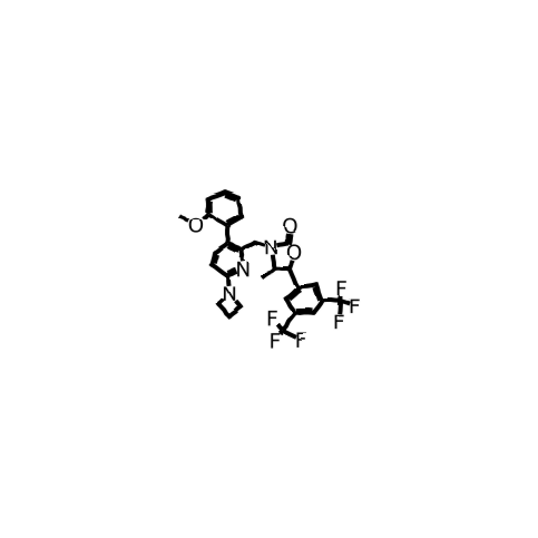 COc1ccccc1-c1ccc(N2CCC2)nc1CN1C(=O)OC(c2cc(C(F)(F)F)cc(C(F)(F)F)c2)C1C